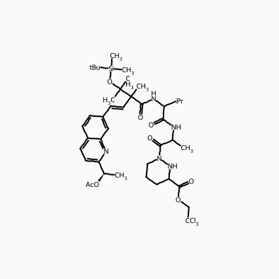 CC(=O)O[C@H](C)c1ccc2ccc(C=CC(C)(C(=O)NC(C(=O)NC(C)C(=O)N3CCCC(C(=O)OCC(Cl)(Cl)Cl)N3)C(C)C)C(C)(C)O[Si](C)(C)C(C)(C)C)cc2n1